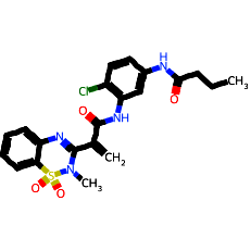 C=C(C(=O)Nc1cc(NC(=O)CCC)ccc1Cl)C1=Nc2ccccc2S(=O)(=O)N1C